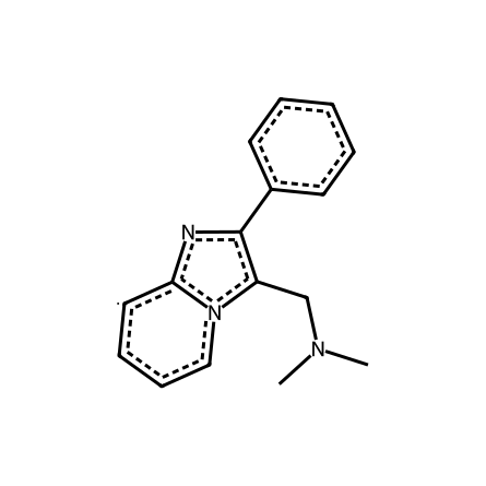 CN(C)Cc1c(-c2ccccc2)nc2[c]cccn12